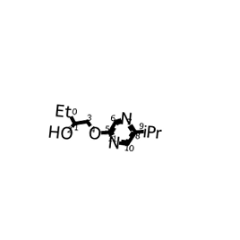 CCC(O)COc1cnc(C(C)C)cn1